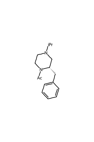 CC(=O)N1CCN(C(C)C)C[C@@H]1Cc1ccccc1